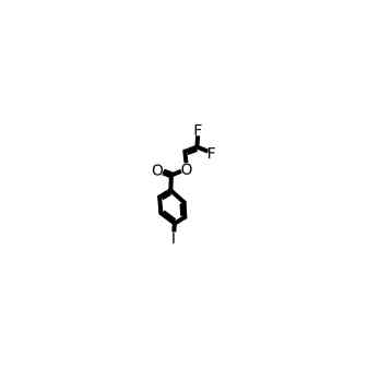 O=C(OC=C(F)F)c1ccc(I)cc1